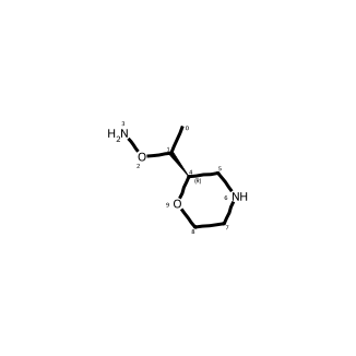 CC(ON)[C@H]1CNCCO1